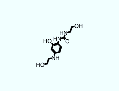 O=C(NCCO)Nc1ccc(NCCO)cc1O